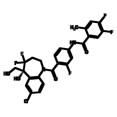 Cc1cc(F)c(F)cc1C(=O)Nc1ccc(C(=O)N2CCC(F)(F)[C@](O)(CO)c3cc(Cl)ccc32)c(F)c1